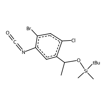 CC(O[Si](C)(C)C(C)(C)C)c1cc(N=C=O)c(Br)cc1Cl